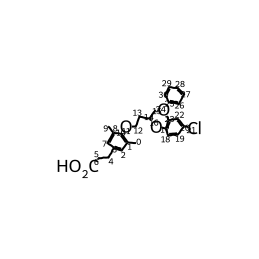 Cc1cc(CCC(=O)O)cc(C)c1OCCC(C)Oc1ccc(Cl)cc1Oc1ccccc1